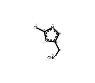 O=CCc1cnc(Cl)s1